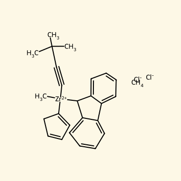 C.CC(C)(C)C#[C][Zr+2]([CH3])([C]1=CC=CC1)[CH]1c2ccccc2-c2ccccc21.[Cl-].[Cl-]